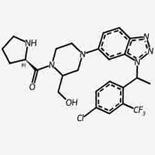 CC(c1ccc(Cl)cc1C(F)(F)F)n1nnc2ccc(N3CCN(C(=O)[C@H]4CCCN4)C(CO)C3)cc21